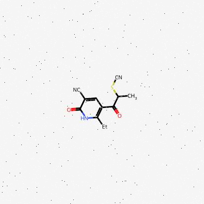 CCc1[nH]c(=O)c(C#N)cc1C(=O)C(C)SC#N